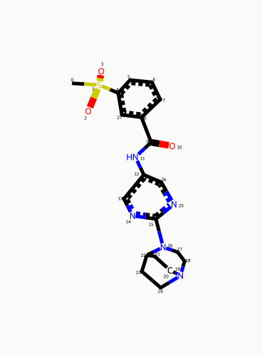 CS(=O)(=O)c1cccc(C(=O)Nc2cnc(N3CCN4CCC3CC4)nc2)c1